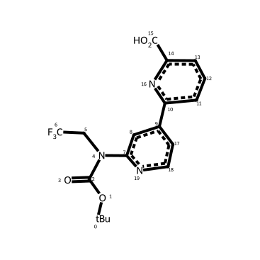 CC(C)(C)OC(=O)N(CC(F)(F)F)c1cc(-c2cccc(C(=O)O)n2)ccn1